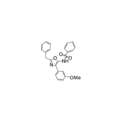 COc1cccc(-c2nc(Cc3ccccc3)oc2NS(=O)(=O)c2ccccc2)c1